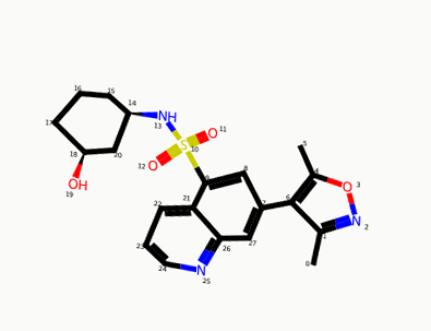 Cc1noc(C)c1-c1cc(S(=O)(=O)N[C@@H]2CCC[C@H](O)C2)c2cccnc2c1